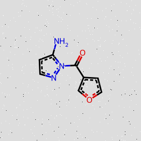 Nc1ccnn1C(=O)c1ccoc1